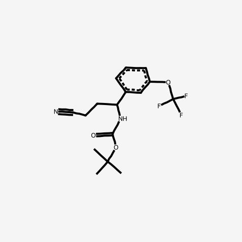 CC(C)(C)OC(=O)NC(CCC#N)c1cccc(OC(F)(F)F)c1